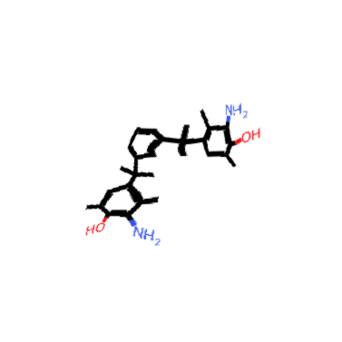 Cc1cc(C(C)(C)c2cccc(C(C)(C)c3cc(C)c(O)c(N)c3C)c2)c(C)c(N)c1O